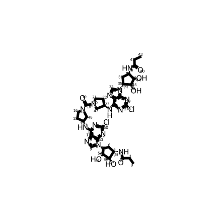 CCC(=O)N[C@H]1C[C@@H](n2cnc3c(N[C@@H]4CCN(C(=O)N5CC[C@@H](Nc6nc(Cl)nc7c6ncn7[C@@H]6C[C@H](NC(=O)CC)[C@@H](O)[C@H]6O)C5)C4)nc(Cl)nc32)[C@H](O)[C@@H]1O